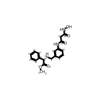 COC(=O)[C@@H](NCc1cccc(NC(=O)CC(=O)NO)c1)c1ccccc1